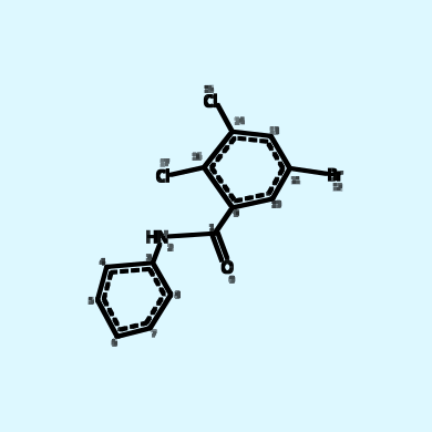 O=C(Nc1ccccc1)c1cc(Br)cc(Cl)c1Cl